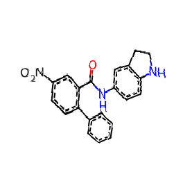 O=C(Nc1ccc2c(c1)CCN2)c1cc([N+](=O)[O-])ccc1-c1ccccc1